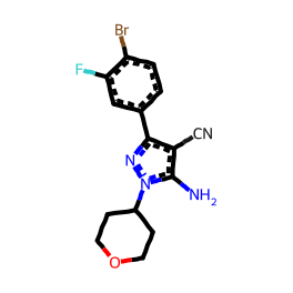 N#Cc1c(-c2ccc(Br)c(F)c2)nn(C2CCOCC2)c1N